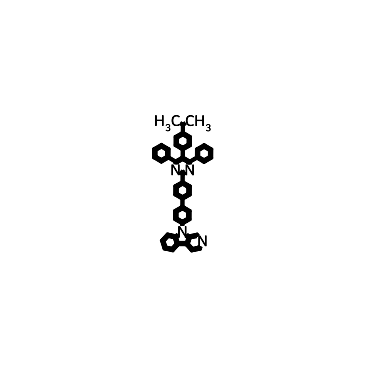 CC(C)c1ccc(-c2c(-c3ccccc3)nc(-c3ccc(-c4ccc(-n5c6ccccc6c6ccncc65)cc4)cc3)nc2-c2ccccc2)cc1